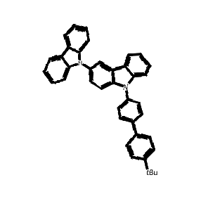 CC(C)(C)c1ccc(-c2ccc(-n3c4ccccc4c4cc(-n5c6ccccc6c6ccccc65)ccc43)cc2)cc1